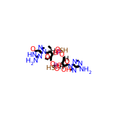 CC[C@H]1[C@H](n2cnc3c(=O)[nH]c(N)nc32)O[C@]2(CC)CO[P@@](=O)(S)O[C@H]3[C@@H](O)[C@H](n4cnc5c(N)ncnc54)O[C@@H]3COP(=O)(S)O[C@@H]12